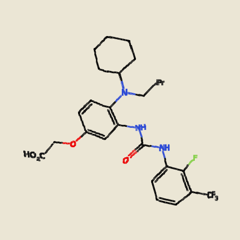 CC(C)CN(c1ccc(OCC(=O)O)cc1NC(=O)Nc1cccc(C(F)(F)F)c1F)C1CCCCC1